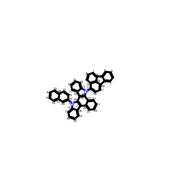 c1ccc2c(c1)-c1cccc3c(-n4c5ccccc5c5c4c4ccccc4c4c6ccccc6n(-c6ccc7ccccc7c6)c45)ccc-2c13